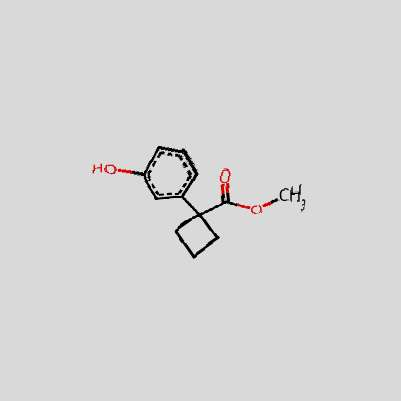 COC(=O)C1(c2cccc(O)c2)CCC1